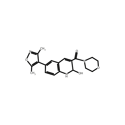 Cc1noc(C)c1-c1ccc2c(c1)C=C(C(=O)N1CCOCC1)C(O)N2